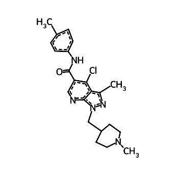 Cc1ccc(NC(=O)c2cnc3c(c(C)nn3CC3CCN(C)CC3)c2Cl)cc1